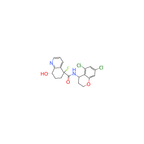 O=C(NC1CCOc2cc(Cl)cc(Cl)c21)[C@]1(F)CC[C@H](O)c2ncccc21